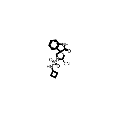 N#C[C@@H]1C[C@@]2(CN1S(=O)(=O)NC1CCC1)C(=O)Nc1ccccc12